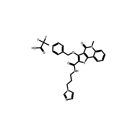 Cn1c(=O)c2c(OCc3ccccc3)c(C(=O)NCCCn3ccnc3)sc2c2ccccc21.O=C(O)C(F)(F)F